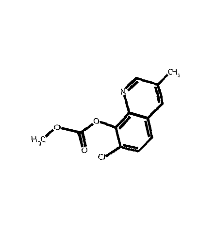 COC(=O)Oc1c(Cl)ccc2cc(C)cnc12